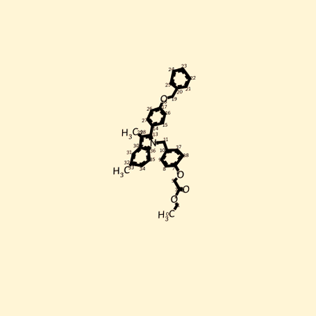 CCOC(=O)COc1ccc(Cn2c(-c3ccc(OCc4ccccc4)cc3)c(C)c3cc(C)ccc32)cc1